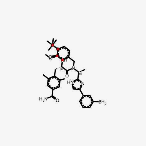 Bc1cccc(-c2c[nH]c([C@H](C)N(Cc3ccc(OC)c(OC)c3)C(=O)[C@H](Cc3c(C)cc(C(N)=O)cc3C)NC(=O)OC(C)(C)C)n2)c1